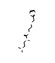 CN(C)CCN(S)C(=O)NCCSCc1nccs1